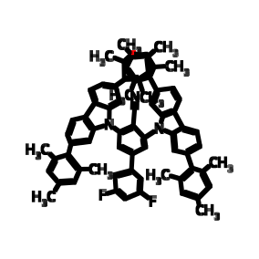 Cc1cc(C)c(-c2ccc3c4ccc(-c5c(C)cc(C)cc5C)cc4n(-c4cc(-c5cc(F)cc(F)c5)cc(-n5c6cc(-c7c(C)cc(C)cc7C)ccc6c6ccc(-c7c(C)cc(C)cc7C)cc65)c4C#N)c3c2)c(C)c1